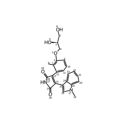 Cc1c(OC[C@@H](O)CO)cccc1C1=C(c2cn(C)c3ccccc23)C(=O)NC1=O